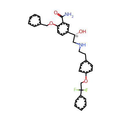 NC(=O)c1cc([C@H](O)CNCCc2ccc(OCC(F)(F)c3ccccc3)cc2)ccc1OCc1ccccc1